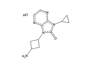 Cl.NC1CC(n2c(=O)n(C3CC3)c3nccnc32)C1